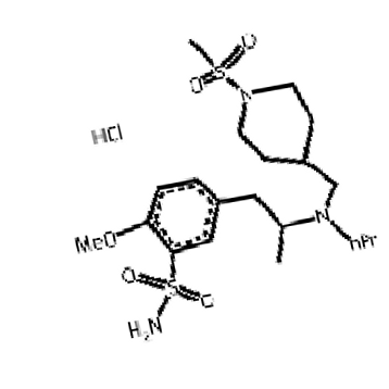 CCCN(CC1CCN(S(C)(=O)=O)CC1)C(C)Cc1ccc(OC)c(S(N)(=O)=O)c1.Cl